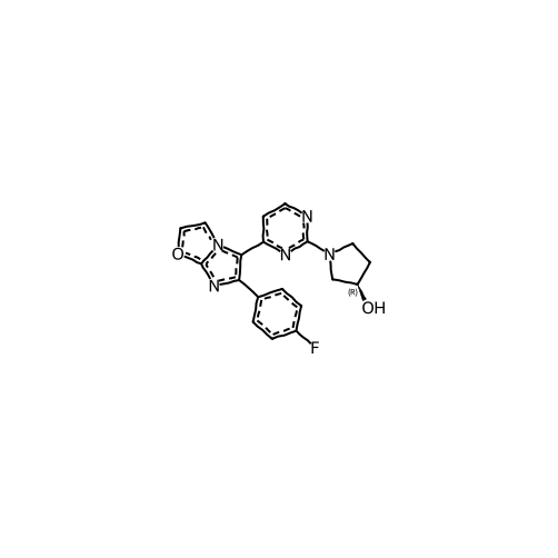 O[C@@H]1CCN(c2nccc(-c3c(-c4ccc(F)cc4)nc4occn34)n2)C1